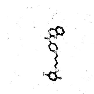 CN(C1=Nc2ccccc2CS1)C1CCN(CCCCOc2cc(F)ccc2F)CC1